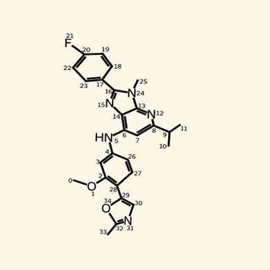 COc1cc(Nc2cc(C(C)C)nc3c2nc(-c2ccc(F)cc2)n3C)ccc1-c1cnc(C)o1